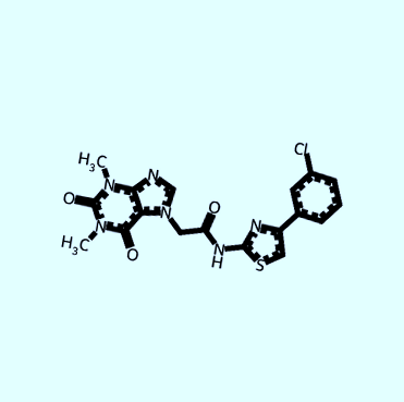 Cn1c(=O)c2c(ncn2CC(=O)Nc2nc(-c3cccc(Cl)c3)cs2)n(C)c1=O